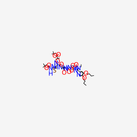 CCCCOc1cnc(-c2nn(S(=O)(=O)NC(=O)N3C[C@H](NC(=O)/C(=N\OC(C)(C)C(=O)OC(C)(C)C)c4csc(NC(=O)OC(C)(C)C)n4)C3=O)c(=O)n2CC)cc1OCCCC